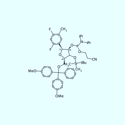 COc1ccc(C(OC[C@H]2O[C@@H](c3cc(C)c(F)cc3F)[C@@H](OP(OCCC#N)N(C(C)C)C(C)C)C2O[Si](C)(C)C(C)(C)C)(c2ccccc2)c2ccc(OC)cc2)cc1